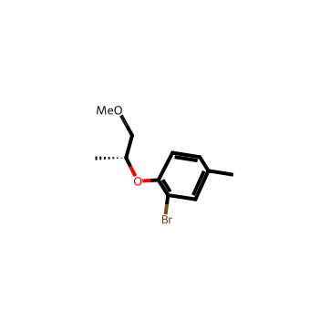 COC[C@@H](C)Oc1ccc(C)cc1Br